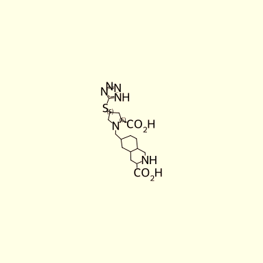 O=C(O)C1CC2CC(CN3C[C@@H](Sc4nnn[nH]4)C[C@H]3C(=O)O)CCC2CN1